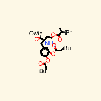 CCC(C)CC(=O)Oc1ccc(C[C@](N)(CCOC(=O)C(C)C(C)C)C(=O)OC)cc1OC(=O)CC(C)CC